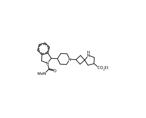 CCOC(=O)C1CNC2(C1)CC(N1CCC(C3c4ccccc4CN3C(=O)NC)CC1)C2